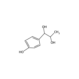 CC(O)C(O)c1ccc(O)cc1